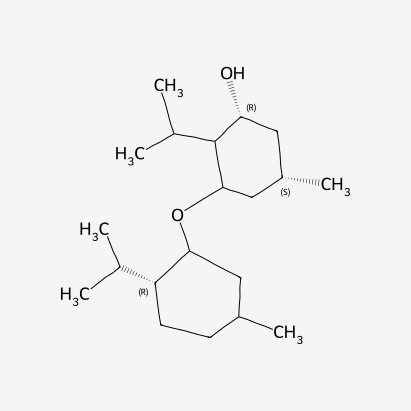 CC1CC[C@H](C(C)C)C(OC2C[C@@H](C)C[C@@H](O)C2C(C)C)C1